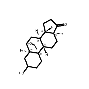 C[C@]12CC[C@H]3[C@@H](CC[C@@H]4CC(O)CC[C@@]43CO)[C@@H]1CCC2=O